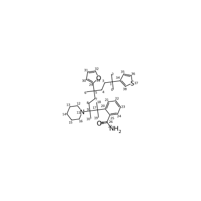 CC(C)(CCC(C)(CCC(C)(N1CCCCC1)C(C)(C)c1ccccc1C(N)=O)c1ccco1)c1ccsc1